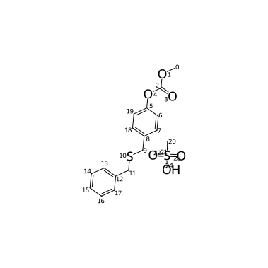 COC(=O)Oc1ccc(CSCc2ccccc2)cc1.CS(=O)(=O)O